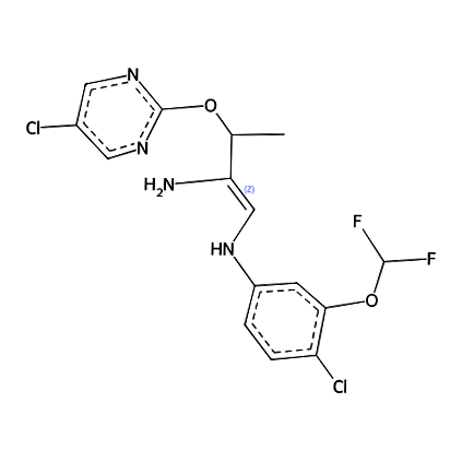 CC(Oc1ncc(Cl)cn1)/C(N)=C/Nc1ccc(Cl)c(OC(F)F)c1